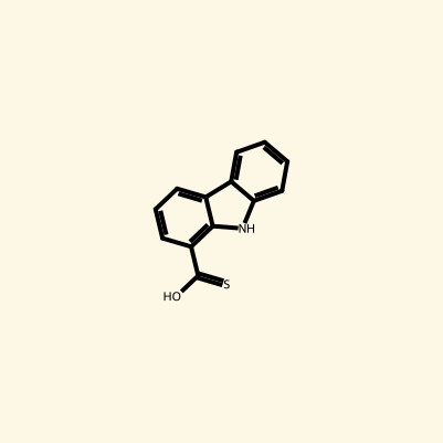 OC(=S)c1cccc2c1[nH]c1ccccc12